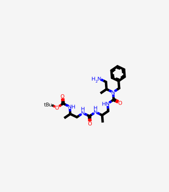 CC(CNC(=O)N(Cc1ccccc1)C(C)CN)NC(=O)NCC(C)NC(=O)OC(C)(C)C